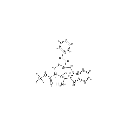 CC(C)(C)OC(=O)N1CCC(CCc2ccccc2)(Cn2c(CN)nc3ccccc32)CC1